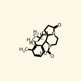 Cc1cccc([C@@]2(C(C)(C)C)[C@@H]3CCC(=O)N3CCN2C(=O)O)c1C